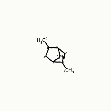 CC1CC2PC1CC2C